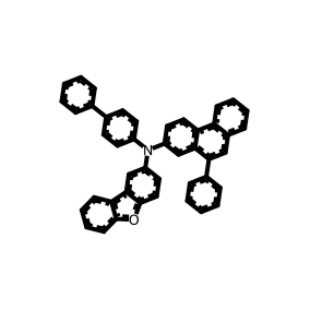 c1ccc(-c2ccc(N(c3ccc4c(c3)c(-c3ccccc3)cc3ccccc34)c3ccc4oc5ccccc5c4c3)cc2)cc1